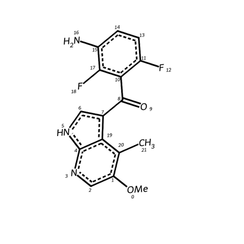 COc1cnc2[nH]cc(C(=O)c3c(F)ccc(N)c3F)c2c1C